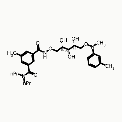 CCCN(CCC)C(=O)c1cc(C)cc(C(=O)NOC[C@H](O)[C@H](O)[C@H](O)CON(C)c2cccc(C)c2)c1